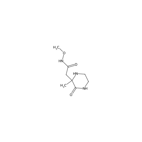 CONC(=O)CC1(C)NCCNC1=O